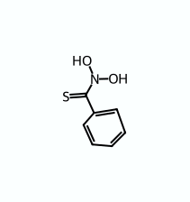 ON(O)C(=S)c1ccccc1